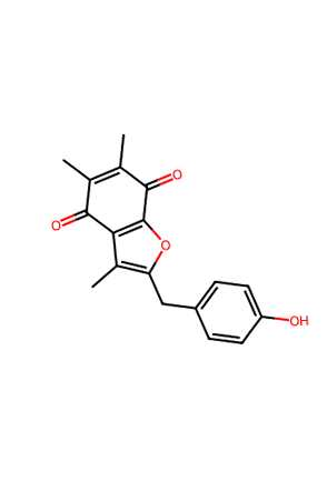 CC1=C(C)C(=O)c2c(oc(Cc3ccc(O)cc3)c2C)C1=O